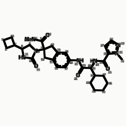 CNC(=O)C1(N2CC(C3CCC3)NC2=O)Cc2ccc(NC(=O)[C@@H](NC(=O)c3ccnn3C)C3CCCCC3)cc2C1